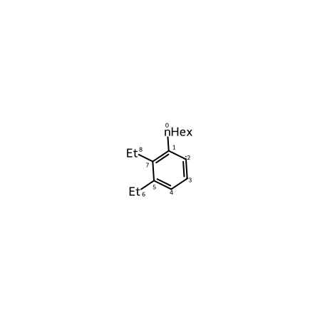 CCCCCCc1[c]ccc(CC)c1CC